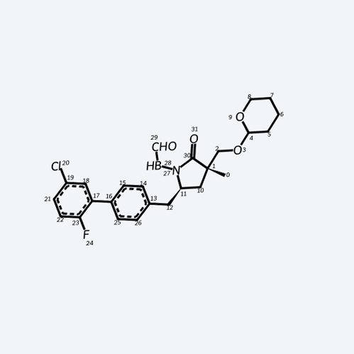 C[C@@]1(COC2CCCCO2)C[C@@H](Cc2ccc(-c3cc(Cl)ccc3F)cc2)N(BC=O)C1=O